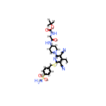 CCc1c(C#N)c(SCc2ccc(S(N)(=O)=O)cc2)nc(N2CCC(NC(=O)CNC(=O)OC(C)(C)C)CC2)c1C#N